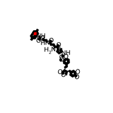 COc1ccc(C[C@H]2COC(=O)[C@@H]2CCc2ccc(OC(=O)N[C@H]3CCN(C(=O)[C@@H](N)CCC(=O)NCCOC(=O)NC45CC6CC(C)(CC(C)(C6)C4)C5)C3)c(OC)c2)cc1OC